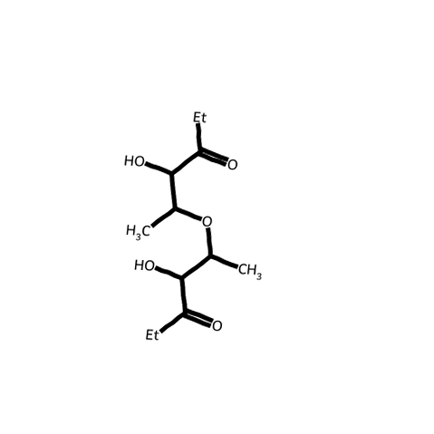 CCC(=O)C(O)C(C)OC(C)C(O)C(=O)CC